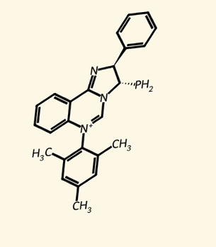 Cc1cc(C)c([N+]2=CN3C(=N[C@@H](c4ccccc4)[C@@H]3P)c3ccccc32)c(C)c1